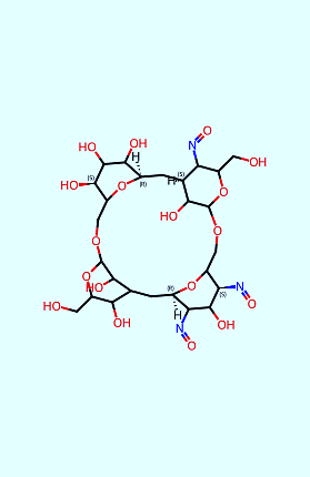 O=NC1C(CO)OC2OCC3O[C@H](CC4C(O)C(CO)OC(OCC5O[C@H](C[C@@H]1C2O)C(O)C(O)[C@@H]5O)C4O)C(N=O)C(O)[C@@H]3N=O